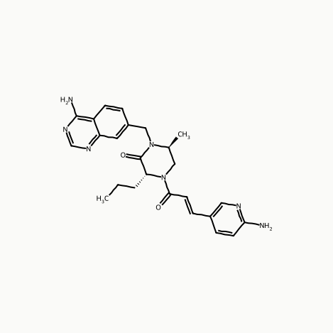 CCC[C@@H]1C(=O)N(Cc2ccc3c(N)ncnc3c2)[C@@H](C)CN1C(=O)C=Cc1ccc(N)nc1